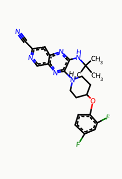 CC(C)(C)Nc1nc2cc(C#N)ncc2nc1N1CCC(Oc2ccc(F)cc2F)CC1